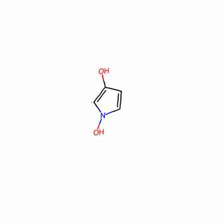 Oc1[c]n(O)cc1